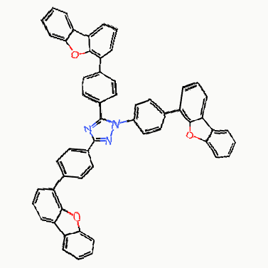 c1ccc2c(c1)oc1c(-c3ccc(-c4nc(-c5ccc(-c6cccc7c6oc6ccccc67)cc5)n(-c5ccc(-c6cccc7c6oc6ccccc67)cc5)n4)cc3)cccc12